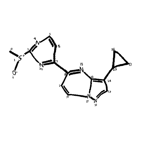 C[S+]([O-])c1nccc(-c2ccn3ncc(C4CC4)c3n2)n1